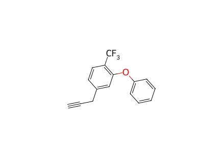 C#CCc1ccc(C(F)(F)F)c(Oc2ccccc2)c1